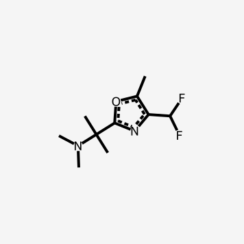 Cc1oc(C(C)(C)N(C)C)nc1C(F)F